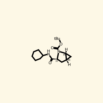 CC(C)(C)OC(=O)N1[C@@H]2C[C@@H]2C[C@H]1C(=O)NC1CCCCC1